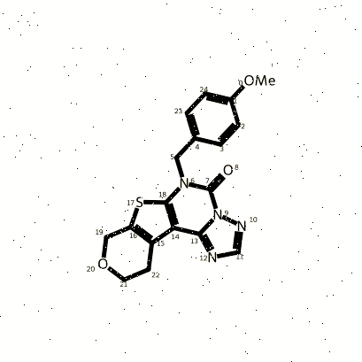 COc1ccc(Cn2c(=O)n3ncnc3c3c4c(sc32)COCC4)cc1